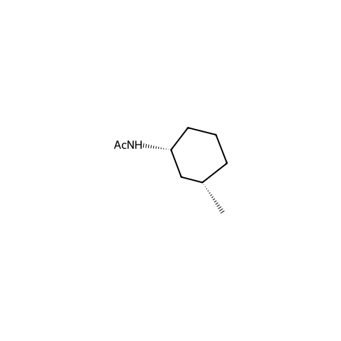 CC(=O)N[C@@H]1CCC[C@H](C)C1